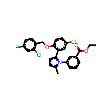 CCOC(=O)c1cccc(-n2c(C)ccc2-c2cc(Cl)ccc2OCc2ccc(F)cc2Cl)c1